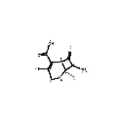 NC1C(=O)N2C(C(=O)O)=C(I)CS[C@H]12